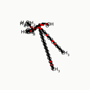 COCCOCCOCCOCCOCCOCCOCCOCCOCCOCCOCCOCCCC1(CCCOCCOOCCOOCCOOCCOOCCOOCCOOCCOOCCOOCCOOCCOOCCOC)c2cc(-c3ccc(CCCC(=O)O)cc3)ccc2-c2ccc(-c3ccc4c(c3)C(C)(CCCCNC(=O)OC(C)(C)C)c3cc(BOC(C)(C)C(C)(C)O)ccc3-4)cc21